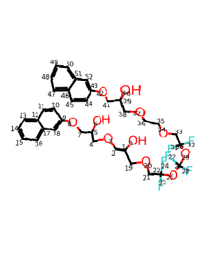 OC(COCC(O)COc1ccc2ccccc2c1)COCC(F)(F)OC(F)(F)OC(F)(F)COCCOCC(O)COc1ccc2ccccc2c1